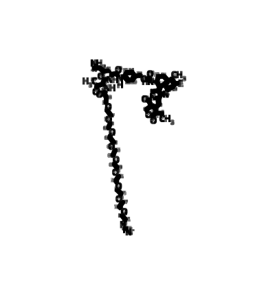 CCC1C(=O)OCc2c1cc1n(c2=O)Cc2c-1nc1cc(F)c(C)c3c1c2[C@@H](NC(=O)OCc1ccc(NC(=O)[C@H](CCCCN)NC(=O)[C@@H](NC(=O)CCOCCOCCOCCOCCOCCOCCOCCOCCOCCN=[N+]=[N-])C(C)C)cc1)CC3